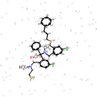 CN(CCS)Cc1ccc(Br)cc1C(O)(c1ccccc1)N(C)Cc1ccc(Br)cc1CSCCCc1ccccc1